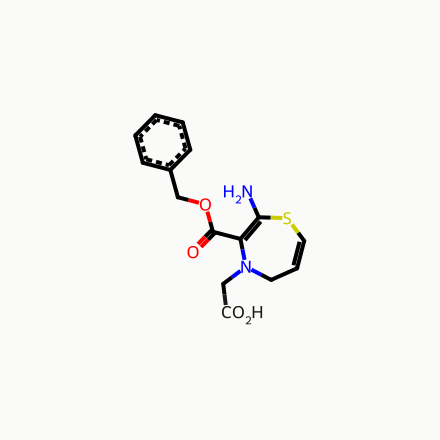 NC1=C(C(=O)OCc2ccccc2)N(CC(=O)O)CC=CS1